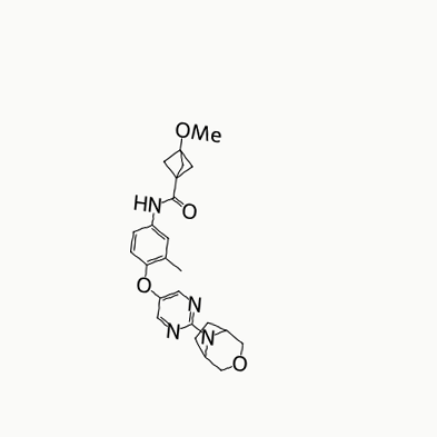 COC12CC(C(=O)Nc3ccc(Oc4cnc(N5C6CCC5COC6)nc4)c(C)c3)(C1)C2